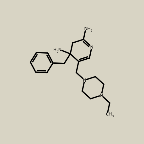 CCN1CCN(CC2=CN=C(N)CC2(N)Cc2ccccc2)CC1